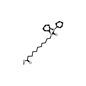 COC(=O)CCCCCCCCCCn1c(=O)n(-c2ccccc2)c2ccccc21